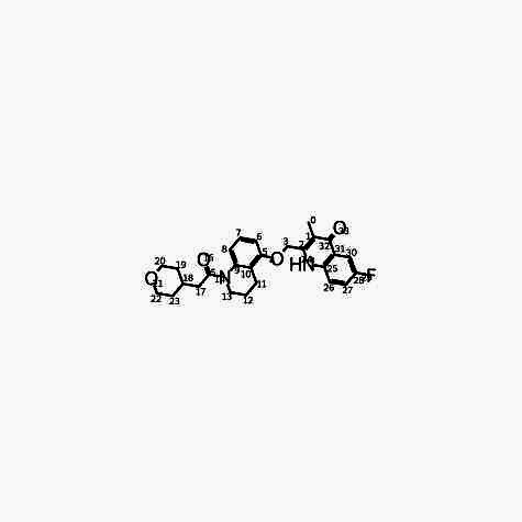 Cc1c(COc2cccc3c2CCCN3C(=O)CC2CCOCC2)[nH]c2ccc(F)cc2c1=O